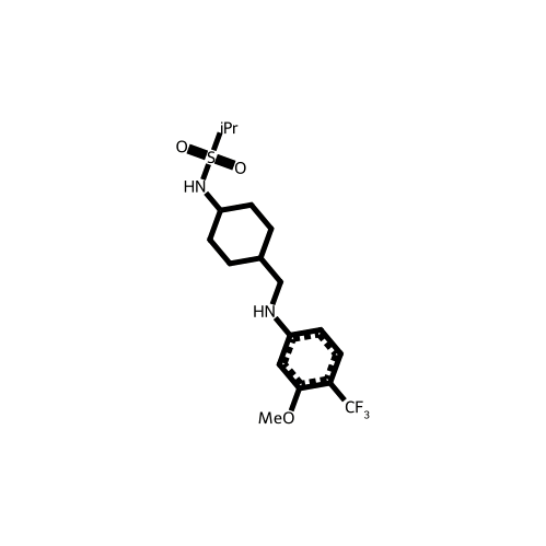 COc1cc(NCC2CCC(NS(=O)(=O)C(C)C)CC2)ccc1C(F)(F)F